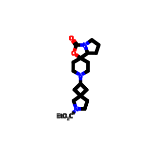 CCOC(=O)N1CCC2(CC(N3CCC4(CC3)OC(=O)N3CCCC34)C2)C1